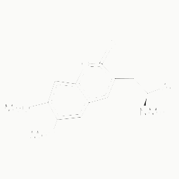 CN[C@@H](Cc1cc2cc(OC)c(OC)cc2oc1=O)C(C)=O